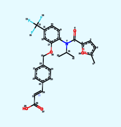 Cc1ccc(C(=O)N(c2ccc(C(F)(F)F)cc2OCc2ccc(/C=C/C(=O)O)cc2)C(C)C)o1